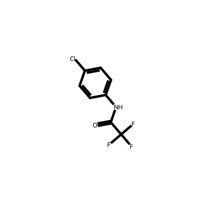 O=C(Nc1ccc(Cl)cc1)C(F)(F)F